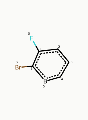 Fc1cccbc1Br